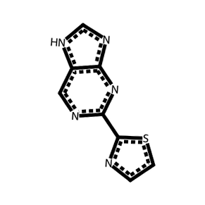 c1csc(-c2ncc3[nH]cnc3n2)n1